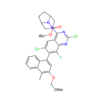 COCOc1cc(-c2c(Cl)cc3c(N4CC5CCC(C4)N5C(=O)OC(C)(C)C)nc(Cl)nc3c2F)c2ccccc2c1C